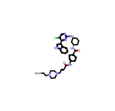 COCCN1CCN(C/C=C/C(=O)Nc2ccc(C(=O)N[C@H]3CCC[C@@H](Nc4ncc(Cl)c(-c5c[nH]c6ccccc56)n4)C3)cc2)CC1